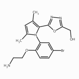 Cc1[c]c(C)n(-c2cc(Br)ccc2OCCN)c1-c1nnc(CO)o1